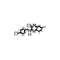 Cc1ccc2nc(NCc3ccc(Cl)cc3)c(Cl)nc2c1